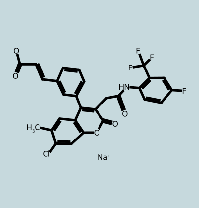 Cc1cc2c(-c3cccc(/C=C/C(=O)[O-])c3)c(CC(=O)Nc3ccc(F)cc3C(F)(F)F)c(=O)oc2cc1Cl.[Na+]